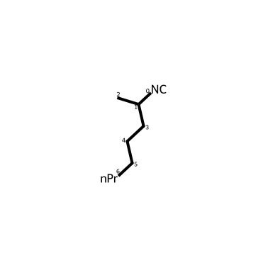 [C-]#[N+]C(C)CCCCCC